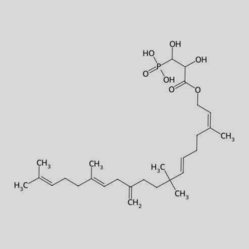 C=C(C/C=C(\C)CCC=C(C)C)CCC(C)(C)/C=C/CC/C(C)=C\COC(=O)C(O)C(O)P(=O)(O)O